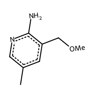 COCc1cc(C)cnc1N